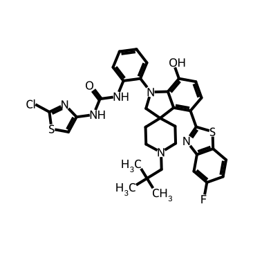 CC(C)(C)CN1CCC2(CC1)CN(c1ccccc1NC(=O)Nc1csc(Cl)n1)c1c(O)ccc(-c3nc4cc(F)ccc4s3)c12